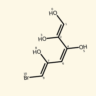 O/C=C(O)/C(O)=C\C(O)=C\Br